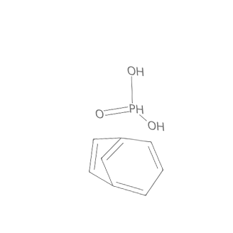 C1=Cc2cccc1c2.O=[PH](O)O